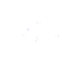 C[Si](C)(C)CCOCn1ccc2c(NC3CCC(CO)CC3)cc(C(N)=O)nc21